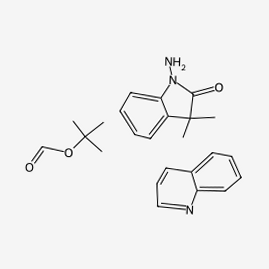 CC(C)(C)OC=O.CC1(C)C(=O)N(N)c2ccccc21.c1ccc2ncccc2c1